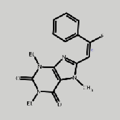 CCn1c(=O)c2c(nc(/C=C(/F)c3ccccc3)n2C)n(CC)c1=O